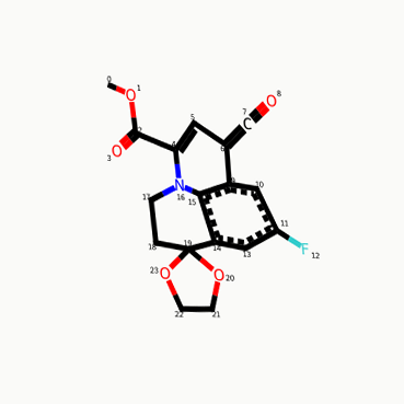 COC(=O)C1=CC(=C=O)c2cc(F)cc3c2N1CCC31OCCO1